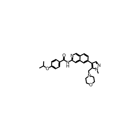 CC(C)Oc1ccc(C(=O)Nc2cc3cc(-c4cnn(C)c4CN4CCOCC4)ccc3cn2)cc1